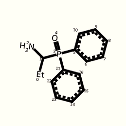 CCC(N)P(=O)(c1ccccc1)c1ccccc1